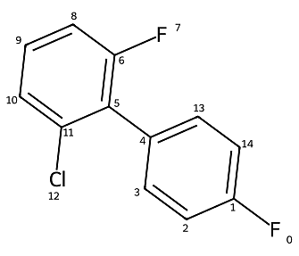 Fc1ccc(-c2c(F)cccc2Cl)cc1